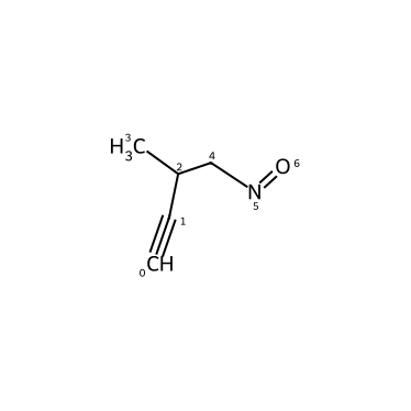 C#CC(C)CN=O